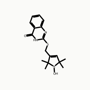 CC1(C)C=C(CSc2nc3ccccc3c(=O)[nH]2)C(C)(C)N1O